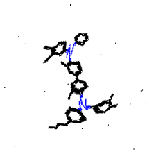 CCCCc1ccc(N(c2ccc(C)c(C)c2)c2ccc(-c3ccc(N(c4ccccc4)c4ccc(C)c(C)c4)c(C)c3)cc2C)cc1